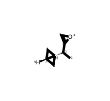 CC(C1=CO1)[C@]12C[C@@H]1C2